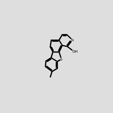 Cc1ccc2c(c1)sc1c2ccc2ccnc(O)c21